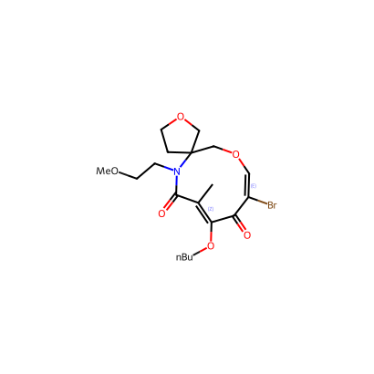 CCCCO/C1=C(/C)C(=O)N(CCOC)C2(CCOC2)CO/C=C(/Br)C1=O